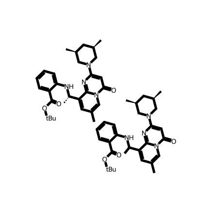 Cc1cc(C(C)Nc2ccccc2C(=O)OC(C)(C)C)c2nc(N3C[C@H](C)C[C@H](C)C3)cc(=O)n2c1.Cc1cc([C@H](C)Nc2ccccc2C(=O)OC(C)(C)C)c2nc(N3C[C@H](C)C[C@H](C)C3)cc(=O)n2c1